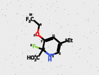 CCC1=CNC(F)(C(=O)O)C(OCC(F)(F)F)=C1